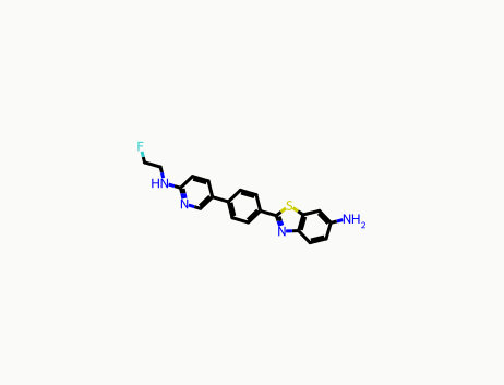 Nc1ccc2nc(-c3ccc(-c4ccc(NCCF)nc4)cc3)sc2c1